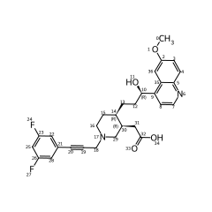 COc1ccc2nccc([C@H](O)CC[C@@H]3CCN(CC#Cc4cc(F)cc(F)c4)C[C@@H]3CC(=O)O)c2c1